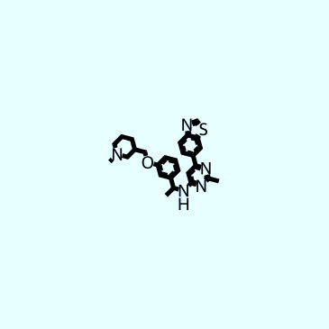 Cc1nc(NC(C)c2cccc(OCC3CCCN(C)C3)c2)cc(-c2ccc3ncsc3c2)n1